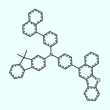 CC1(C)c2ccccc2-c2ccc(N(c3ccc(-c4cc5c6ccccc6oc5c5ccccc45)cc3)c3cccc(-c4cccc5ccccc45)c3)cc21